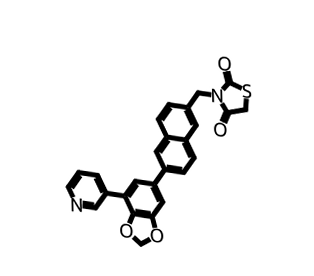 O=C1CSC(=O)N1Cc1ccc2cc(-c3cc4c(c(-c5cccnc5)c3)OCO4)ccc2c1